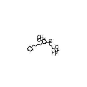 COc1ccc(C(=O)CCCC(=O)C(F)(F)F)cc1CCCCc1ccccc1